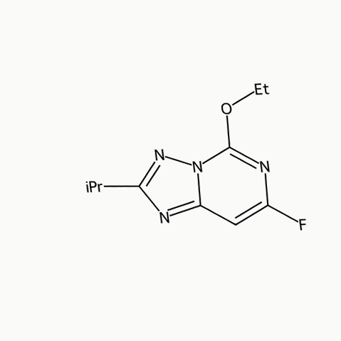 CCOc1nc(F)cc2nc(C(C)C)nn12